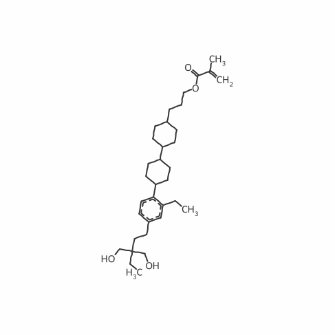 C=C(C)C(=O)OCCCC1CCC(C2CCC(c3ccc(CCC(CC)(CO)CO)cc3CC)CC2)CC1